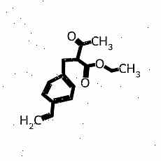 C=Cc1ccc(CC(C(C)=O)C(=O)OCC)cc1